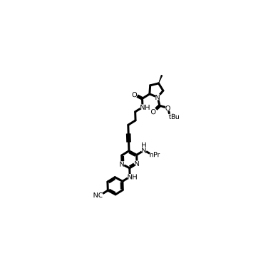 CCCNc1nc(Nc2ccc(C#N)cc2)ncc1C#CCCCNC(=O)C1C[C@@H](C)CN1C(=O)OC(C)(C)C